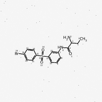 CCC(N)C(=O)Nc1cccc(S(=O)(=O)c2ccc(Br)cc2)c1